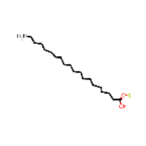 CCCCCCCCCCCCCCCCCCCC(O)=[O+][S-]